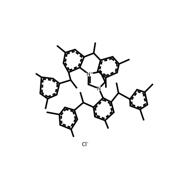 Cc1cc(C)cc(C(C)c2cc(C)cc(C(C)c3cc(C)cc(C)c3)c2N2C=[N+](c3c(C(C)c4cc(C)cc(C)c4)cc(C)cc3C(C)c3cc(C)cc(C)c3)CC2)c1.[Cl-]